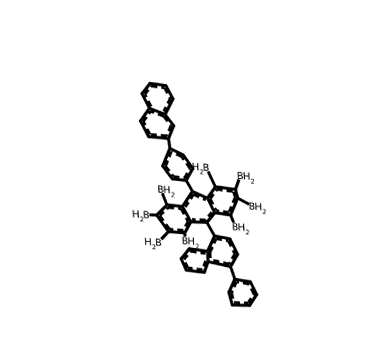 Bc1c(B)c(B)c2c(-c3ccc(-c4ccccc4)c4ccccc34)c3c(B)c(B)c(B)c(B)c3c(-c3ccc(-c4ccc5ccccc5c4)cc3)c2c1B